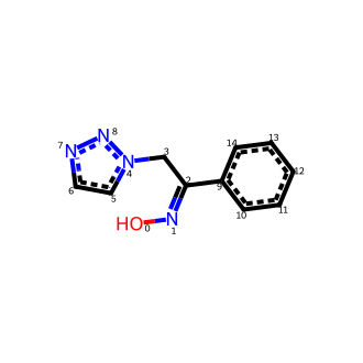 ON=C(Cn1ccnn1)c1ccccc1